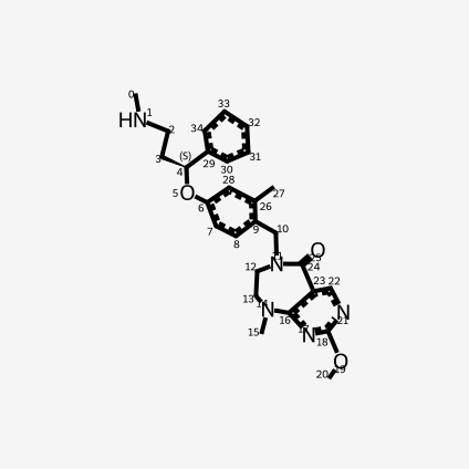 CNCC[C@H](Oc1ccc(CN2CCN(C)c3nc(OC)ncc3C2=O)c(C)c1)c1ccccc1